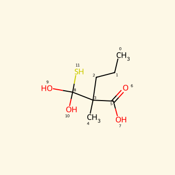 CCCC(C)(C(=O)O)C(O)(O)S